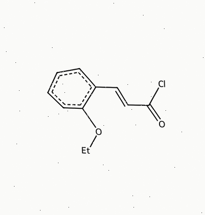 CCOc1ccccc1/C=C/C(=O)Cl